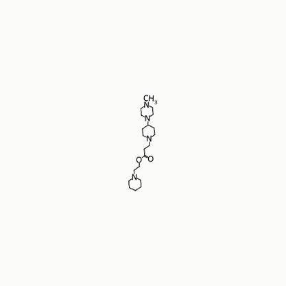 CN1CCN(C2CCN(CCC(=O)OCCN3CCCCC3)CC2)CC1